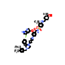 COc1cc(CN2CCN(C3CC4(C3)CN(c3ccc(C(=O)NS(=O)(=O)c5ccc(NCC6CCC(C)(O)CC6)c([N+](=O)[O-])c5)c(Oc5cnc6[nH]cc(F)c6c5)c3)C4)[C@H](c3ccccc3C(C)C)C2)ccc1C(F)(F)F